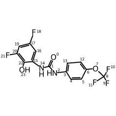 O=C(Nc1ccc(OC(F)(F)F)cc1)Nc1cc(F)cc(F)c1O